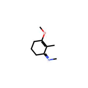 C/N=C1/CCCC(OC)=C1C